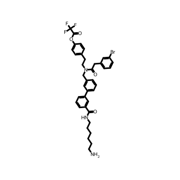 NCCCCCCNC(=O)c1cccc(-c2cccc(CN(CCc3ccc(OC(=O)C(F)(F)F)cc3)C(=O)Cc3cccc(Br)c3)c2)c1